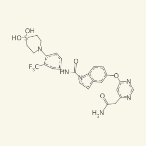 NC(=O)Cc1cc(Oc2ccc3c(ccn3C(=O)Nc3ccc(N4CCS(O)(O)CC4)c(C(F)(F)F)c3)c2)ncn1